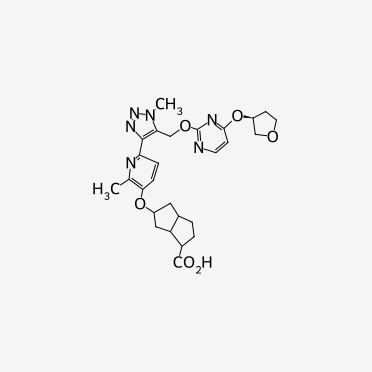 Cc1nc(-c2nnn(C)c2COc2nccc(O[C@H]3CCOC3)n2)ccc1OC1CC2CCC(C(=O)O)C2C1